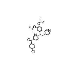 O=C(c1ccc(Cl)cc1)c1ccc(C(Cc2ccncc2)c2ccc(OC(F)F)c(OC(F)F)c2)nc1